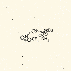 CC(C)(C)OC(=O)N(CCCN1CCC(CCCN2c3ccccc3Sc3ccc(C(F)(F)F)cc32)CC1)C(=O)CN